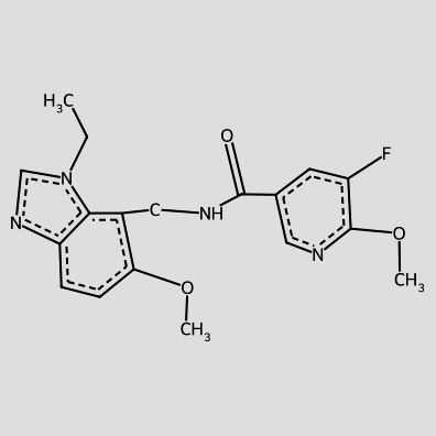 CCn1cnc2ccc(OC)c(CNC(=O)c3cnc(OC)c(F)c3)c21